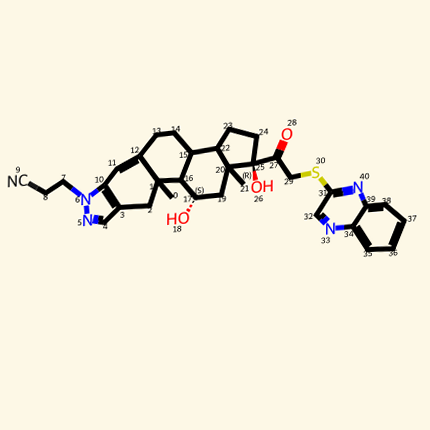 CC12Cc3cnn(CCC#N)c3C=C1CCC1C2[C@@H](O)CC2(C)C1CC[C@]2(O)C(=O)CSc1cnc2ccccc2n1